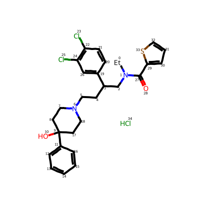 CCN(CC(CCN1CCC(O)(c2ccccc2)CC1)c1ccc(Cl)c(Cl)c1)C(=O)c1cccs1.Cl